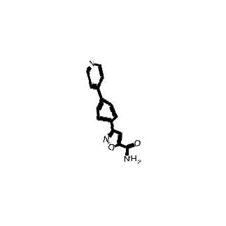 NC(=O)c1cc(-c2ccc(-c3ccncc3)cc2)no1